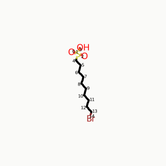 O=S(=O)(O)CCCCCCCCCCBr